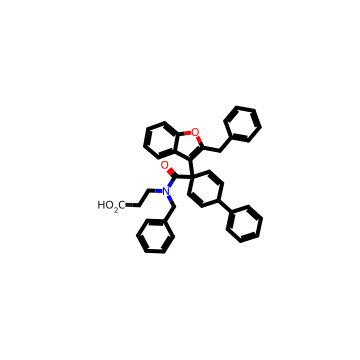 O=C(O)CCN(Cc1ccccc1)C(=O)C1(c2c(Cc3ccccc3)oc3ccccc23)C=CC(c2ccccc2)C=C1